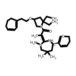 CCC1(CC)CC(OCCC2=CC=CCCC2)CN1C(=O)/C(C)=C1\N[C@@H](C2=CCCCC=C2)CC(C)(C)CN1N